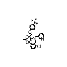 CC(=O)OC(COc1ccc(C(F)(F)F)cc1)C(=O)N(Cc1cccnc1)Cc1ccccc1Cl